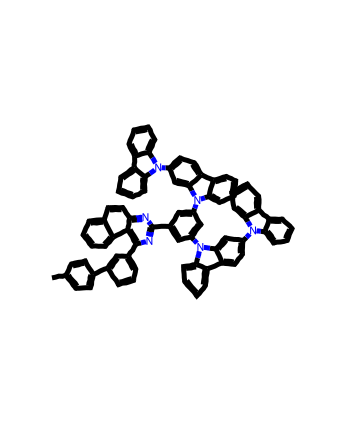 Cc1ccc(-c2cccc(-c3nc(-c4cc(-n5c6ccccc6c6ccc(-n7c8ccccc8c8ccccc87)cc65)cc(-n5c6ccccc6c6ccc(-n7c8ccccc8c8ccccc87)cc65)c4)nc4ccc5ccccc5c34)c2)cc1